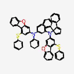 C1=C=CC(C2=CC=CC2(c2ccccc2)N(c2cccc(N(C3=CCCC=C3)c3cc(Sc4ccccc4)c4c(c3)oc3ccccc34)c2)c2cc(Sc3ccccc3)c3c(c2)oc2ccccc23)=CC=1